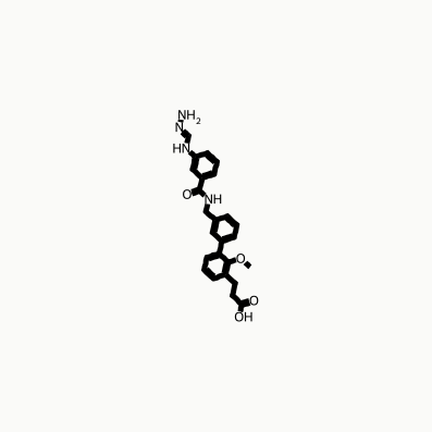 COc1c(CCC(=O)O)cccc1-c1cccc(CNC(=O)c2cccc(NC=NN)c2)c1